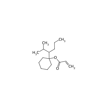 C=CC(=O)OC1(C(CCC)C(C)C)CCCCC1